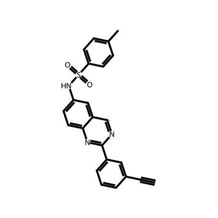 C#Cc1cccc(-c2n[c]c3cc(NS(=O)(=O)c4ccc(C)cc4)ccc3n2)c1